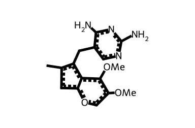 COc1coc2cc(C)c(Cc3cnc(N)nc3N)c-2c1OC